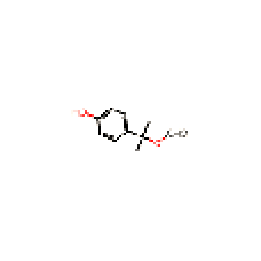 CC(C)(OC=O)c1ccc(O)cc1